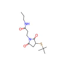 CCCNC(=O)CCN1C(=O)CC(SC(C)(C)C)C1=O